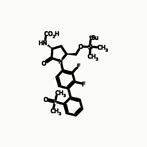 CC(C)(C)[Si](C)(C)OC[C@@H]1C[C@@H](NC(=O)O)C(=O)N1c1ccc(-c2ccccc2P(C)(C)=O)c(F)c1F